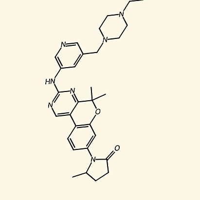 CCN1CCN(Cc2cncc(Nc3ncc4c(n3)C(C)(C)Oc3cc(N5C(=O)CCC5C)ccc3-4)c2)CC1